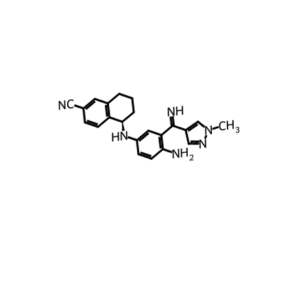 Cn1cc(C(=N)c2cc(N[C@@H]3CCCc4cc(C#N)ccc43)ccc2N)cn1